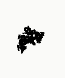 Cc1c(-c2ncc(F)cn2)c(C(=O)N2C[C@H](C)O[C@@H](C)[C@H]2CNc2ncc(C(F)(F)F)cn2)nn1C